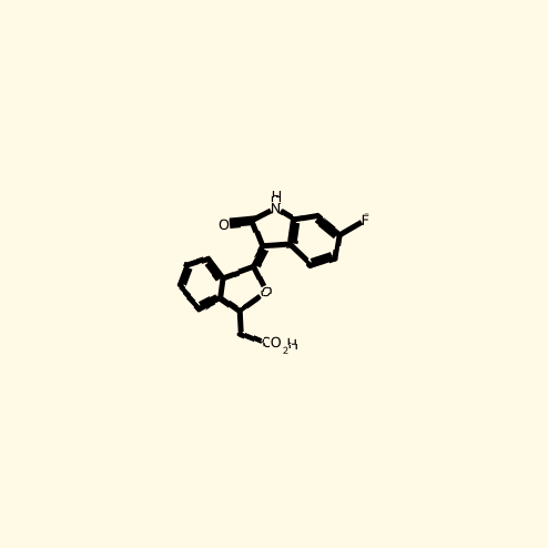 O=C(O)CC1O/C(=C2/C(=O)Nc3cc(F)ccc32)c2ccccc21